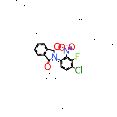 O=C1c2ccccc2C(=O)N1c1ccc(Cl)c(F)c1[N+](=O)[O-]